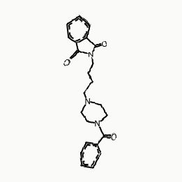 O=C(c1ccccc1)N1CCN(CCCCN2C(=O)c3ccccc3C2=O)CC1